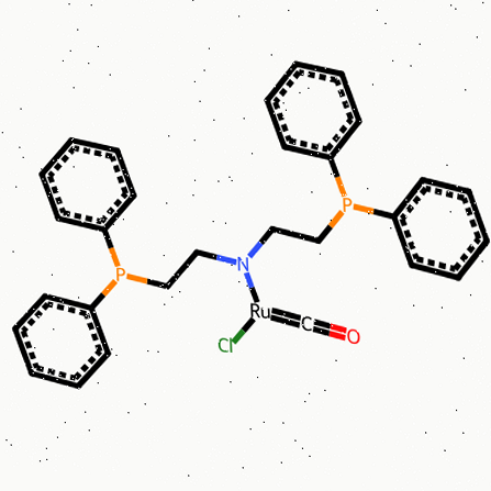 O=[C]=[Ru]([Cl])[N](CCP(c1ccccc1)c1ccccc1)CCP(c1ccccc1)c1ccccc1